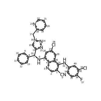 N#Cc1cnc2c(N[C@@H](c3ccccc3)c3cn(Cc4ccccn4)nn3)cc(Cl)cc2c1Nc1ccc(F)c(Cl)c1